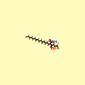 CCCCCCC=CCCCCCCCC(C(N)=O)C(CO)CCCC